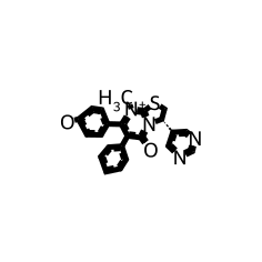 C[n+]1c(-c2ccc([O-])cc2)c(-c2ccccc2)c(=O)n2c1SC[C@@H]2c1cncnc1